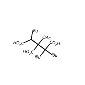 CCC(C)C(C(=O)O)C(OC(C)=O)(C(=O)O)C(C(=O)O)(C(C)CC)C(C)CC